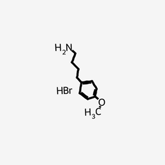 Br.COc1ccc(CCCCN)cc1